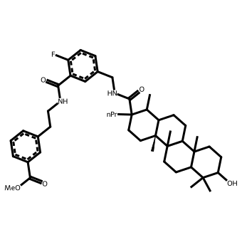 CCCC1(C(=O)NCc2ccc(F)c(C(=O)NCCc3cccc(C(=O)OC)c3)c2)CC[C@]2(C)C(CCC3C4(C)CCC(O)C(C)(C)C4CCC32C)C1C